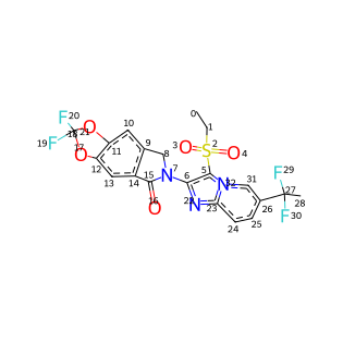 CCS(=O)(=O)c1c(N2Cc3cc4c(cc3C2=O)OC(F)(F)O4)nc2ccc(C(C)(F)F)cn12